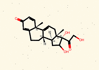 C[C@]12C=CC(=O)C=C1CC[C@@H]1C2=CC[C@@]2(C)[C@H]1CC(O)[C@]2(O)C(=O)CO